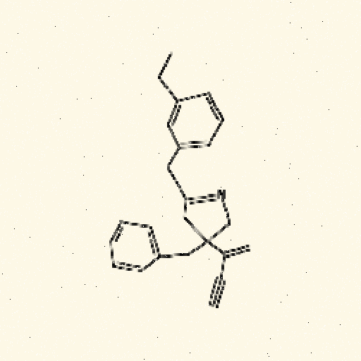 C#CC(=C)C1(Cc2ccccc2)CN=C(Cc2cccc(CC)c2)C1